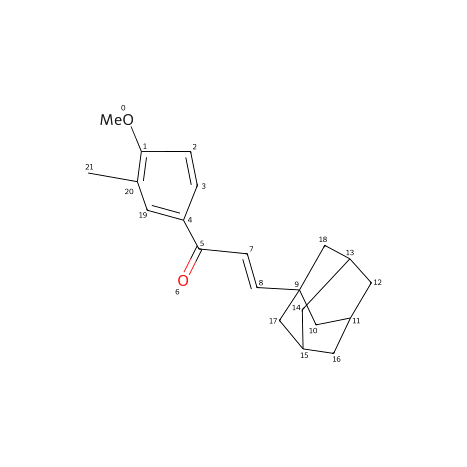 COc1ccc(C(=O)/C=C/C23CC4CC(CC(C4)C2)C3)cc1C